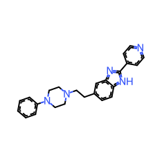 c1ccc(N2CCN(CCc3ccc4[nH]c(-c5ccncc5)nc4c3)CC2)cc1